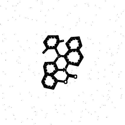 Cc1cccc(C)c1B1c2ccc3cccc4c3c2N(C(=O)O4)c2ccc3ccccc3c21